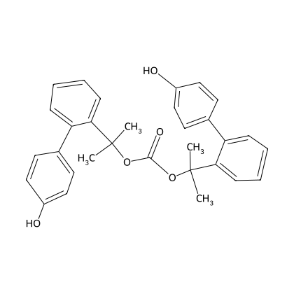 CC(C)(OC(=O)OC(C)(C)c1ccccc1-c1ccc(O)cc1)c1ccccc1-c1ccc(O)cc1